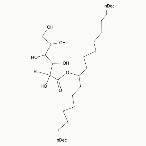 CCCCCCCCCCCCCCCCCC(CCCCCCCCCCCCCCCC)OC(=O)C(O)(CC)C(O)C(O)C(O)CO